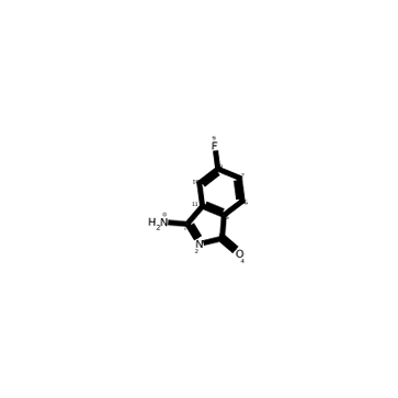 NC1=NC(=O)c2ccc(F)cc21